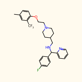 Cc1ccc(OCCN2CCC(CNC(c3ccc(F)cc3)c3ccccn3)CC2)c(C(F)(F)F)c1